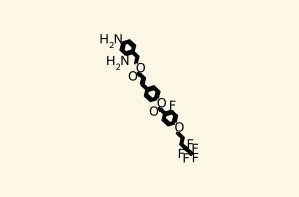 Nc1ccc(CCOC(=O)/C=C/c2ccc(OC(=O)c3ccc(OCCCC(F)(F)C(F)(F)F)cc3F)cc2)c(N)c1